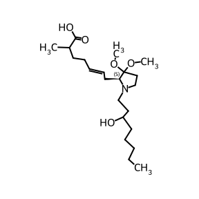 CCCCCC(O)CCN1CCC(OC)(OC)[C@@H]1CC=CCCC(C)C(=O)O